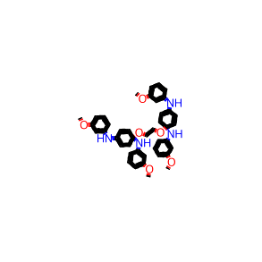 COc1cccc(NC2=CCC(Nc3cccc(OC)c3)(OCCOC3(Nc4cccc(OC)c4)C=CC(Nc4cccc(OC)c4)=CC3)C=C2)c1